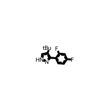 CC(C)(C)c1c[nH]nc1-c1ccc(F)cc1F